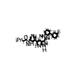 CC(C)CC(=O)N(N)c1cncc(-c2cnc3[nH]nc(-c4nc5c(-c6cccc(F)c6)cccc5n4N)c3c2)c1